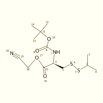 CC(C)SSC[C@H](NC(=O)OC(C)(C)C)C(=O)OCC#N